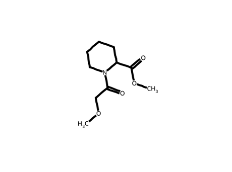 COCC(=O)N1CCCCC1C(=O)OC